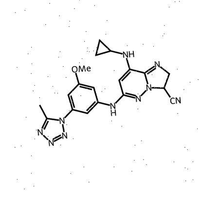 COc1cc(NC2=NN3C(=NCC3C#N)C(NC3CC3)=C2)cc(-n2nnnc2C)c1